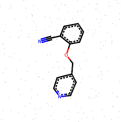 N#Cc1ccccc1OCc1ccncc1